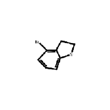 Brc1cccc2c1CC[N]2